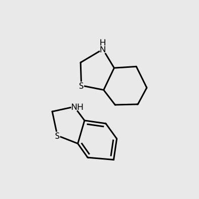 C1CCC2SCNC2C1.c1ccc2c(c1)NCS2